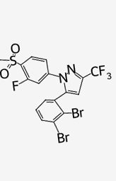 CS(=O)(=O)c1ccc(-n2nc(C(F)(F)F)cc2-c2cccc(Br)c2Br)cc1F